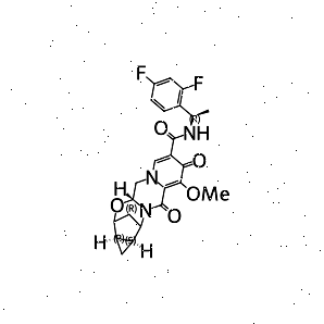 COc1c2n(cc(C(=O)N[C@H](C)c3ccc(F)cc3F)c1=O)C[C@H]1OC3CC([C@H]4C[C@@H]34)N1C2=O